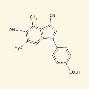 COc1c(C)cc2c(c(C#N)cn2-c2ccc(C(=O)O)cc2)c1C